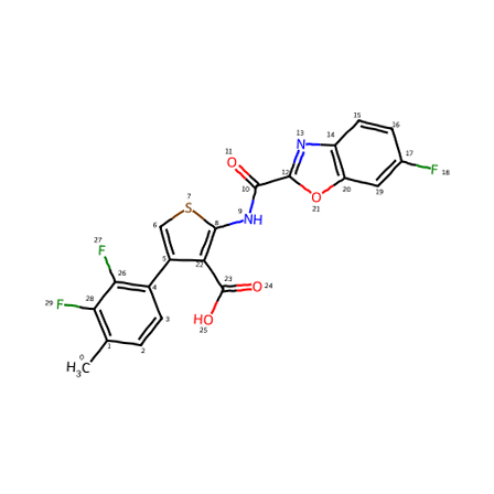 Cc1ccc(-c2csc(NC(=O)c3nc4ccc(F)cc4o3)c2C(=O)O)c(F)c1F